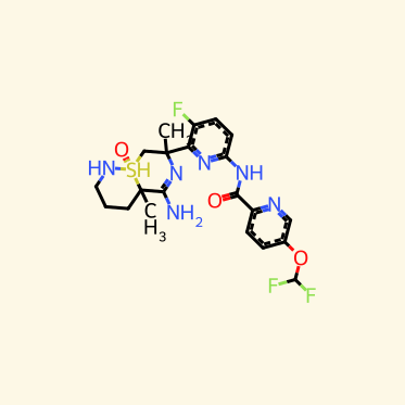 CC1(c2nc(NC(=O)c3ccc(OC(F)F)cn3)ccc2F)C[SH]2(=O)NCCCC2(C)C(N)=N1